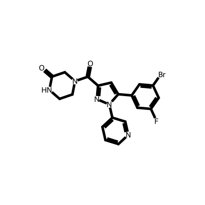 O=C1CN(C(=O)c2cc(-c3cc(F)cc(Br)c3)n(-c3cccnc3)n2)CCN1